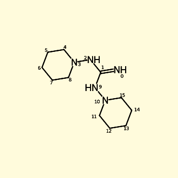 N=C(NN1CCCCC1)NN1CCCCC1